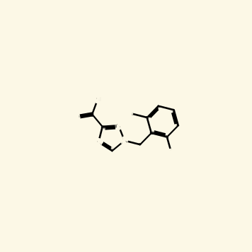 NC(=O)c1ncn(Cc2c(Cl)cccc2Cl)n1